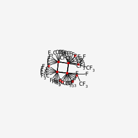 FC(C(F)(F)F)C(F)(C(F)(F)F)C(F)(C(F)(F)F)C(F)(C(F)(F)F)C(F)(C(F)(F)F)C(F)(C(F)(F)F)C(F)(C(F)(F)F)C(F)(C(F)(F)F)C(F)(C(F)(F)F)C(F)(C(F)(F)F)C(F)(C(F)(F)F)C(F)(C(F)(F)F)C(F)(C(F)(F)F)C(F)(C(F)(F)F)C(F)(C(F)(F)F)C(F)(C(F)(F)F)C(F)(C(F)(F)F)C(F)(C(F)(F)F)C(F)(C(F)(F)F)C(F)(C(F)(F)F)C(F)(C(F)(F)F)C(F)(C(F)(F)F)C(F)(C(F)C(F)(F)F)C(F)(F)F